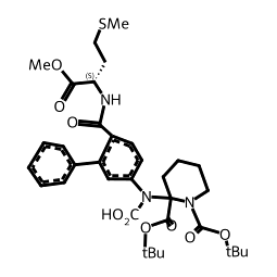 COC(=O)[C@H](CCSC)NC(=O)c1ccc(N(C(=O)O)C2(C(=O)OC(C)(C)C)CCCCN2C(=O)OC(C)(C)C)cc1-c1ccccc1